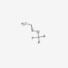 CCSOC(F)(F)F